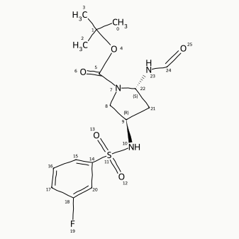 CC(C)(C)OC(=O)N1C[C@H](NS(=O)(=O)c2cccc(F)c2)C[C@H]1NC=O